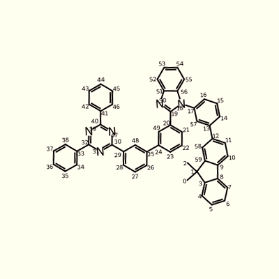 CC1(C)c2ccccc2-c2ccc(-c3cccc(-n4c(-c5cccc(-c6cccc(-c7nc(-c8ccccc8)nc(-c8ccccc8)n7)c6)c5)nc5ccccc54)c3)cc21